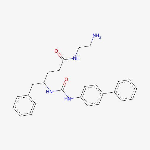 NCCNC(=O)CCC(Cc1ccccc1)NC(=O)Nc1ccc(-c2ccccc2)cc1